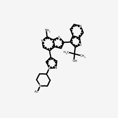 CC(=O)N1CCC(n2cc(-c3cnc(N)c4oc(-c5c(C(C)(C)O)sc6cnccc56)cc34)cn2)CC1